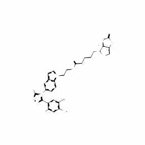 CC(C)c1cc(-c2nnc(O)n2-c2ccc3c(ccn3CCNC(=O)CCCC[C@@H]3SC[C@@H]4NC(=O)N[C@@H]43)c2)c(O)cc1O